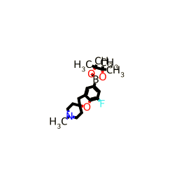 CN1CCC2(CC1)Cc1cc(B3OC(C)(C)C(C)(C)O3)cc(F)c1O2